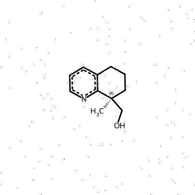 C[C@@]1(CO)CCCc2cccnc21